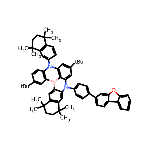 CC(C)(C)c1ccc2c(c1)B1c3cc4c(cc3N(c3ccc(-c5ccc6c(c5)oc5ccccc56)cc3)c3cc(C(C)(C)C)cc(c31)N2c1ccc2c(c1)C(C)(C)CCC2(C)C)C(C)(C)CCC4(C)C